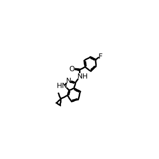 CC1(c2cccc3c(NC(=O)c4ccc(F)cc4)n[nH]c23)CC1